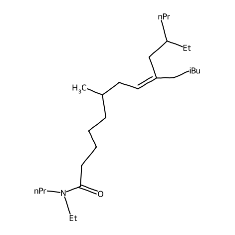 CCCC(CC)C/C(=C\CC(C)CCCCC(=O)N(CC)CCC)CC(C)CC